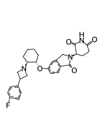 O=C1CC[C@@H](N2Cc3cc(O[C@H]4CCCC[C@@H]4N4CC(c5ccc(F)cc5)C4)ccc3C2=O)C(=O)N1